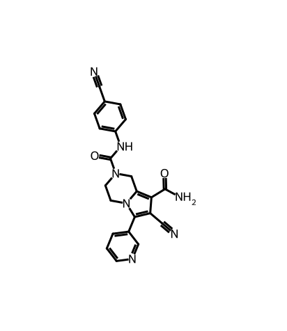 N#Cc1ccc(NC(=O)N2CCn3c(c(C(N)=O)c(C#N)c3-c3cccnc3)C2)cc1